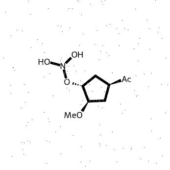 CO[C@@H]1C[C@H](C(C)=O)C[C@H]1ON(O)O